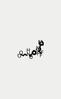 COC(=O)CCCNC(=O)c1ccc(-n2nc(-c3cccnc3)cc2C(F)(F)F)cc1